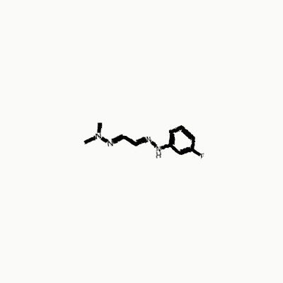 CN(C)N=CC=NNc1cccc(F)c1